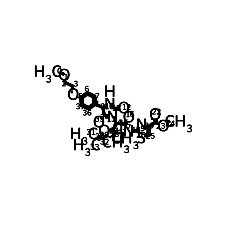 COCCOc1ccc(C2NC(=O)N([C@H](C(=O)Nc3nc(C(=O)OC)cs3)[C@@H](C)OC(C)(C)C)C2=O)cc1